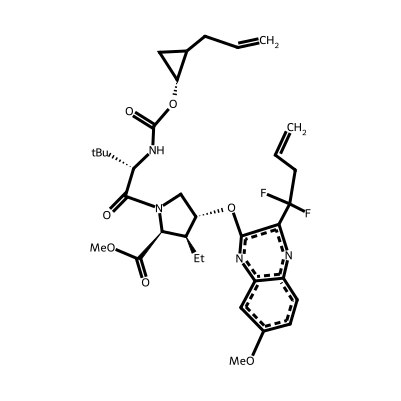 C=CCC1C[C@H]1OC(=O)N[C@H](C(=O)N1C[C@H](Oc2nc3cc(OC)ccc3nc2C(F)(F)CC=C)[C@@H](CC)[C@H]1C(=O)OC)C(C)(C)C